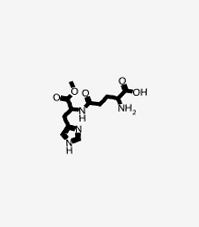 COC(=O)C(Cc1c[nH]cn1)NC(=O)CCC(N)C(=O)O